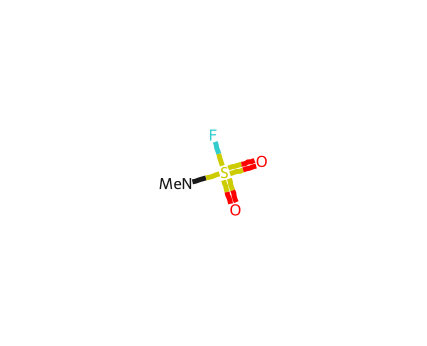 CNS(=O)(=O)F